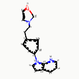 C1=CN(CCc2ccc(-n3ccc4cccnc43)cc2)CO1